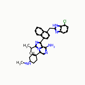 CNC1CC=C(c2cnc(N)c3c(-c4ccc(Cc5nc6cccc(Cl)c6[nH]5)c5ccccc45)nc(C(C)C)n23)CC1